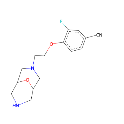 N#Cc1ccc(OCCN2CC3CNCC(C2)O3)c(F)c1